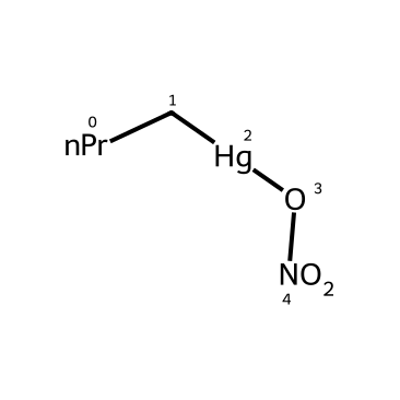 CCC[CH2][Hg][O][N+](=O)[O-]